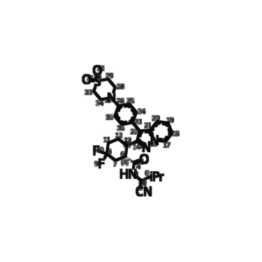 CC(C)[C@@H](C#N)NC(=O)[C@@H]1CC(F)(F)CC[C@H]1c1nn2ccccc2c1-c1ccc(N2CCS(=O)(=O)CC2)cc1